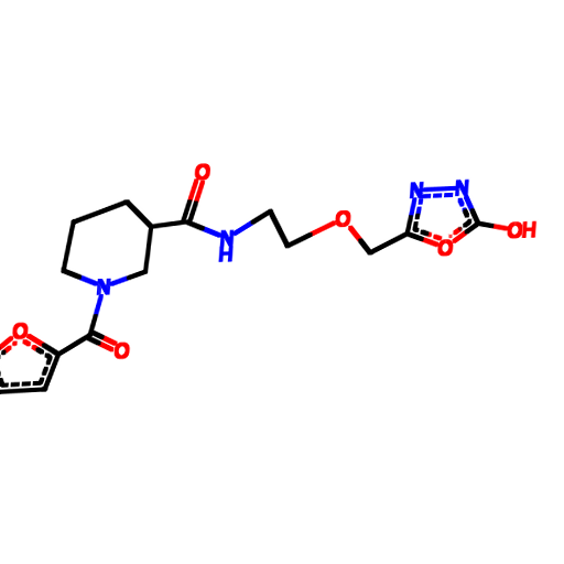 O=C(NCCOCc1nnc(O)o1)C1CCCN(C(=O)c2ccco2)C1